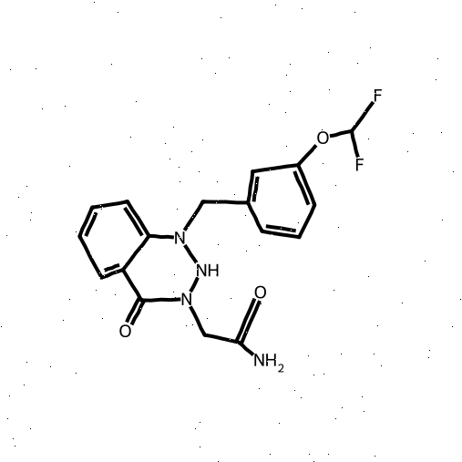 NC(=O)CN1NN(Cc2cccc(OC(F)F)c2)c2ccccc2C1=O